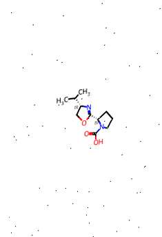 CC(C)[C@H]1COC([C@@H]2CCCN2C(=O)O)=N1